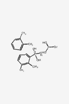 Cc1cccc([PH](O)(O)O)c1C.Cc1ccccc1C.OP(O)O